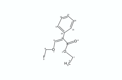 CCOC(=O)C(=COCF)c1ccccc1